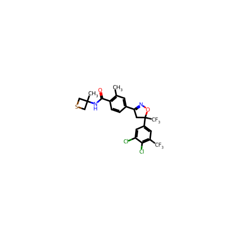 Cc1cc(C2=NOC(c3cc(Cl)c(Cl)c(C(F)(F)F)c3)(C(F)(F)F)C2)ccc1C(=O)NC1(C)CSC1